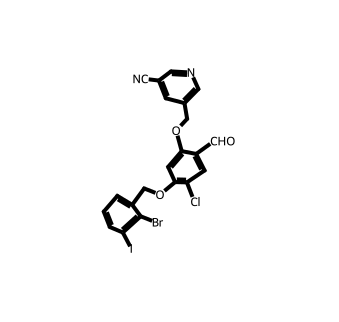 N#Cc1cncc(COc2cc(OCc3cccc(I)c3Br)c(Cl)cc2C=O)c1